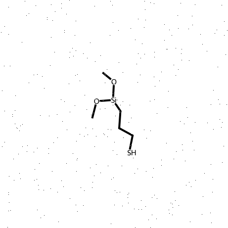 CO[Si](CCCS)OC